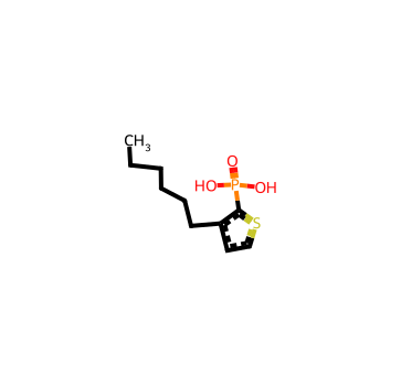 CCCCCCc1ccsc1P(=O)(O)O